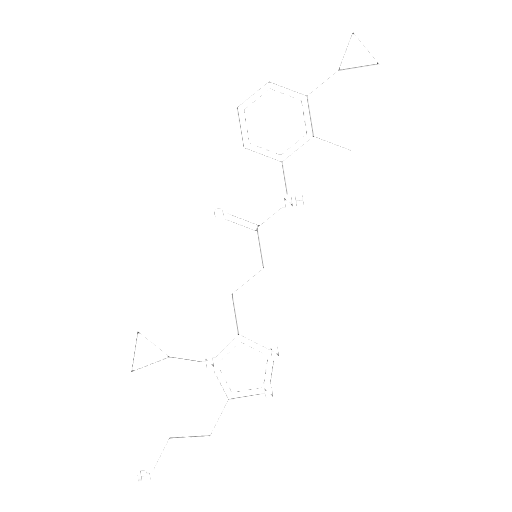 Cc1c(NC(=O)CCc2nnc(CCC(C)C)n2C2CC2)cccc1C1CC1